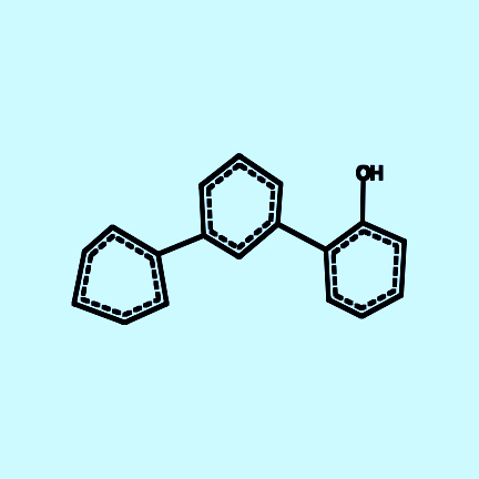 Oc1ccccc1-c1cccc(-c2ccccc2)c1